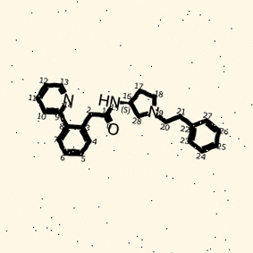 O=C(Cc1ccccc1-c1ccccn1)N[C@H]1CCN(CCc2ccccc2)C1